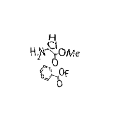 COC(=O)CN.Cl.O=C(OF)c1ccccc1